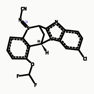 N#C/N=S1/c2cccc(OC(F)F)c2[C@H]2CC1c1nc3ccc(Cl)cc3n12